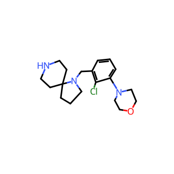 Clc1c(CN2CCCC23CCNCC3)cccc1N1CCOCC1